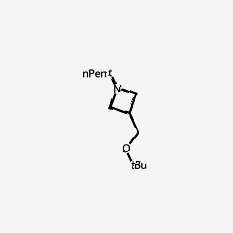 CCCCCN1CC(COC(C)(C)C)C1